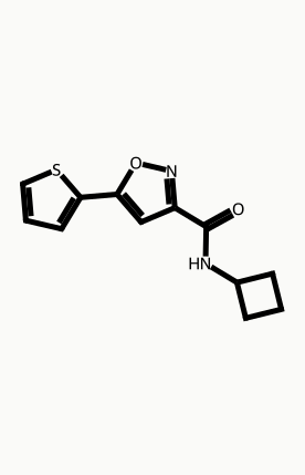 O=C(NC1CCC1)c1cc(-c2cccs2)on1